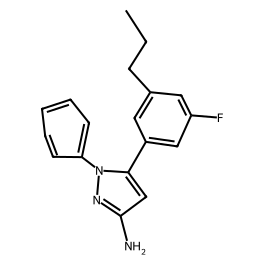 CCCc1cc(F)cc(-c2cc(N)nn2-c2ccccc2)c1